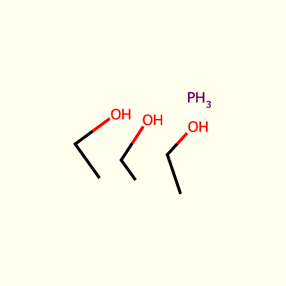 CCO.CCO.CCO.P